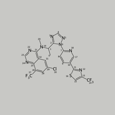 CC(c1ncnn1-c1ccc(-c2nc(C(F)(F)F)cs2)cn1)N(C)c1ncnc2c(C(F)(F)F)cc(Cl)cc12